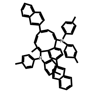 Cc1ccc(N(c2ccc(C)cc2)c2ccc(-c3ccc4ccccc4c3)ccc(C)c(N(c3ccc(C)cc3)c3ccc(C)cc3)c3cc(-c4ccc5ccccc5c4)ccc23)cc1